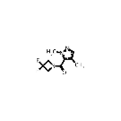 Cc1cnn(C)c1C(=O)N1CC(F)(F)C1